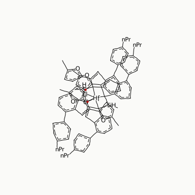 CCCc1ccc(-c2cccc3c2C=C(c2ccc(C)o2)[C]32[SiH](C)[C]3(C(c4ccc(C)o4)=Cc4c(-c5ccc(CCC)cc5)cccc43)[Hf]23([Cl])([Cl])[C]2(C(c4ccc(C)o4)=Cc4c(-c5ccc(CCC)cc5)cccc42)[SiH](C)[C]32C(c3ccc(C)o3)=Cc3c(-c4ccc(CCC)cc4)cccc32)cc1